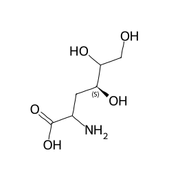 NC(C[C@H](O)C(O)CO)C(=O)O